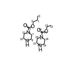 CCCOC(=O)N1CCNCC1.CCOC(=O)N1CCNCC1